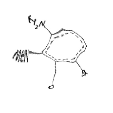 CNc1c(N)ccc(Br)c1Cl